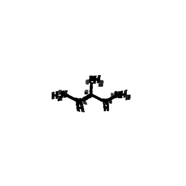 NNC(P)NN